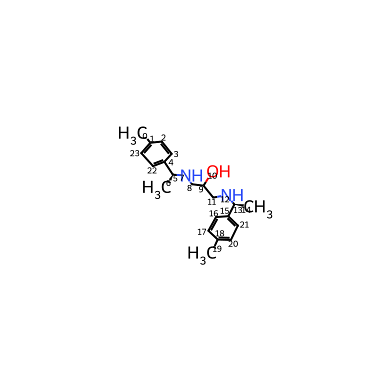 Cc1ccc([C@H](C)NCC(O)CN[C@@H](C)c2ccc(C)cc2)cc1